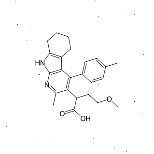 COCCC(C(=O)O)c1c(C)nc2[nH]c3c(c2c1-c1ccc(C)cc1)CCCC3